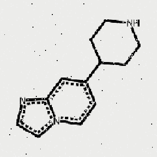 c1cn2ccc(C3CCNCC3)cc2n1